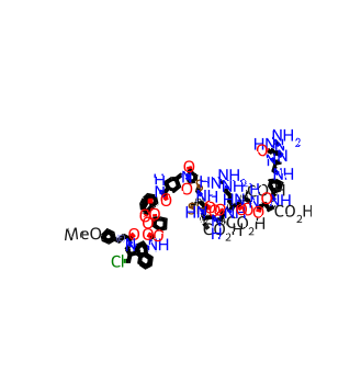 COc1ccc(/C=C/C(=O)N2CC(CCl)c3c2cc(NC(=O)OC2CCCC4(C2)OOC2(O4)C4CC5CC2CC(NC(=O)C2CCC(CN6C(=O)CC(SCN[C@@H](CS)C(=O)N[C@@H](CC(=O)O)C(=O)N[C@@H](CC(=O)O)C(=O)N[C@@H](CCCNC(=N)N)C(=O)N[C@@H](CC(=O)O)C(=O)NC(=O)CCC(NC(=O)c7ccc(NCc8cnc9nc(N)[nH]c(=O)c9n8)cc7)C(=O)O)C6=O)CC2)(C5)C4)c2ccccc32)cc1